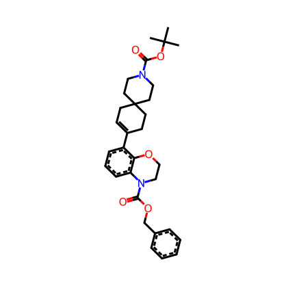 CC(C)(C)OC(=O)N1CCC2(CC=C(c3cccc4c3OCCN4C(=O)OCc3ccccc3)CC2)CC1